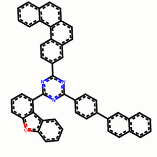 c1ccc2cc(-c3ccc(-c4nc(-c5ccc6c(ccc7ccc8ccccc8c76)c5)nc(-c5cccc6oc7ccccc7c56)n4)cc3)ccc2c1